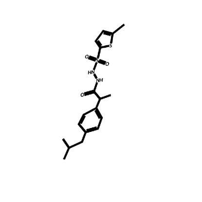 Cc1ccc(S(=O)(=O)NNC(=O)C(C)c2ccc(CC(C)C)cc2)s1